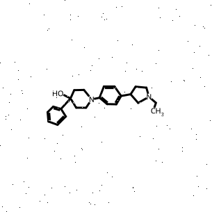 CCN1CCC(c2ccc(N3CCC(O)(c4ccccc4)CC3)cc2)C1